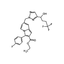 CCOC(=O)c1cc2cc(Cn3ncc(C(O)CCC(F)(F)F)n3)ccn2c1-c1ccc(F)cc1